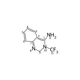 NC1=c2ccccc2=NCN1C(F)(F)F